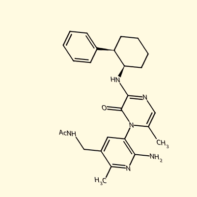 CC(=O)NCc1cc(-n2c(C)cnc(N[C@@H]3CCCC[C@@H]3c3ccccc3)c2=O)c(N)nc1C